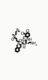 CN(C)CCN(C)C(=O)CCC(=O)N1Cc2ccccc2C[C@H]1C(=O)N[C@@H](CCN)C(=O)Nc1ccc(Cl)c(Cl)c1F